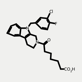 O=C(O)CCCCCC(=O)N1CCc2c(n(Cc3ccc(F)c(Cl)c3)c3ccccc23)C1